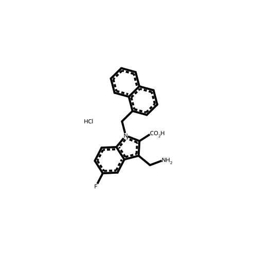 Cl.NCc1c(C(=O)O)n(Cc2cccc3ccccc23)c2ccc(F)cc12